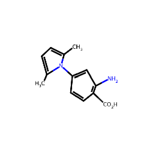 Cc1ccc(C)n1-c1ccc(C(=O)O)c(N)c1